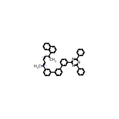 C=C(/C=C\C=C(/C)c1cccc(-c2cccc(-c3cccc(-c4nc(-c5ccccc5)nc(-c5ccccc5)n4)c3)c2)c1)c1cccc2ccccc12